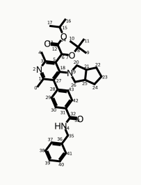 Cc1nc(C)c(C(OC(C)(C)C)C(=O)OC(C)C)c(N2CC3CCCC3C2)c1-c1ccc(C(=O)NCc2ccccc2)cc1